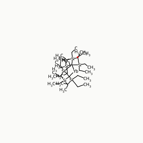 CC[Si](CC)(CC)[C]([Yb][C]([Si](CC)(CC)CC)([Si](CC)(CC)CC)[Si](CC)(CC)CC)([Si](CC)(CC)CC)[Si](CC)(CC)CC